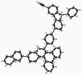 N#Cc1ccc2c(c1)c1cc(-c3ccc(-c4nc5cc(-c6ccc7ccccc7c6)ccc5c5c6ccccc6c6ccccc6c45)cc3)ccc1n2-c1ccccc1